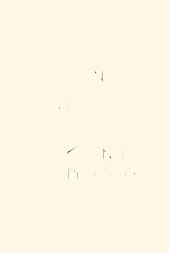 CC(C)C[C@H](NS(=O)(=O)c1ccccc1)C(=O)CN1CCCc2ccccc2C1